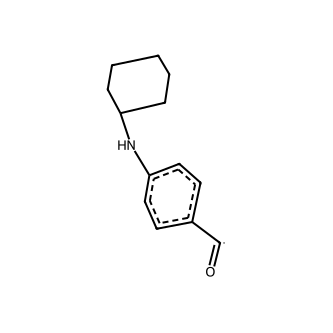 O=[C]c1ccc(NC2CCCCC2)cc1